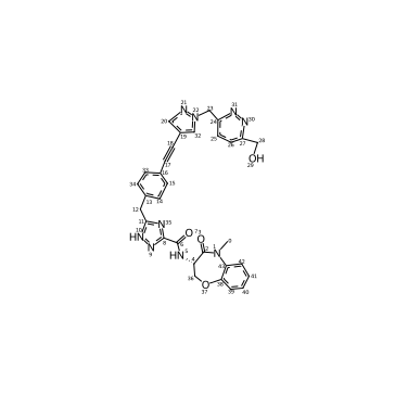 CN1C(=O)[C@@H](NC(=O)c2n[nH]c(Cc3ccc(C#Cc4cnn(Cc5ccc(CO)nn5)c4)cc3)n2)COc2ccccc21